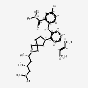 CCN(C)C[C@H](O)C[C@H](C(C)C)N1CC2(CCN(c3ncnnc3Oc3ccc(F)cc3C(=O)N(CC)C(C)C)C2)C1.O=C(O)/C=C/C(=O)O